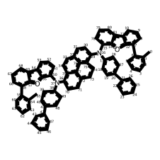 Cc1ccccc1-c1cccc2c1oc1c(N(c3ccc(-c4ccccc4)cc3)c3ccc4ccc5c(N(c6ccc(-c7ccccc7)cc6)c6cccc7c6oc6c(-c8ccccc8C)cccc67)ccc6ccc3c4c65)cccc12